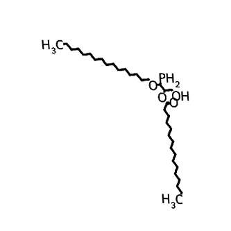 CCCCCCCCCCCCCCCCOC(P)C(CO)OC(=O)CCCCCCCCCCCCCCC